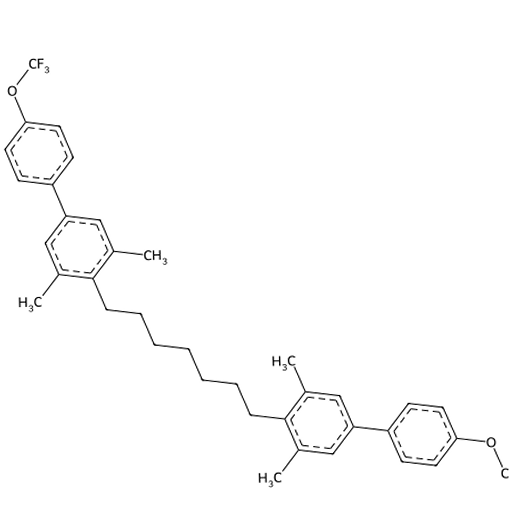 Cc1cc(-c2ccc(OC(F)(F)F)cc2)cc(C)c1CCCCCCCc1c(C)cc(-c2ccc(OC(F)(F)F)cc2)cc1C